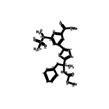 COC(=O)c1cc(-c2nnc([C@](C)(Cc3ccccc3)NC(=O)OC(C)(C)C)o2)cc(N(C)S(C)(=O)=O)n1